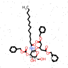 CCCCCCCCCCCCCC(=O)N[C@H]1[C@@H](OC(CC(=O)OCc2ccccc2)CC(=O)OCc2ccccc2)O[C@H](CO)[C@@H](O)[C@@H]1OC(=O)OCc1ccccc1